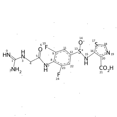 N=C(N)NCC(=O)Nc1c(F)cc([S+]([O-])Nc2scnc2C(=O)O)cc1F